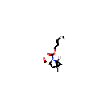 CCCCOC(=O)N1[C@@H]2C[C@@H]2C[C@@H]1C=O